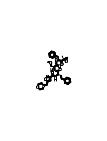 COC[C@H](NC(=O)[C@H](CCc1ccccc1)NC(=O)c1cc(CN2CCOCC2)on1)C(=O)N[C@@H](Cc1ccccc1)C(=O)[C@@]1(C)CO1